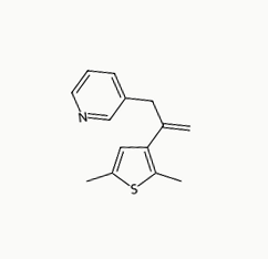 C=C(Cc1cccnc1)c1cc(C)sc1C